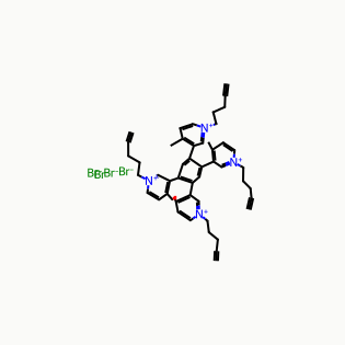 C#CCCC[n+]1ccc(C)c(-c2cc(-c3c[n+](CCCC#C)ccc3C)c(-c3c[n+](CCCC#C)ccc3C)cc2-c2c[n+](CCCC#C)ccc2C)c1.[Br-].[Br-].[Br-].[Br-]